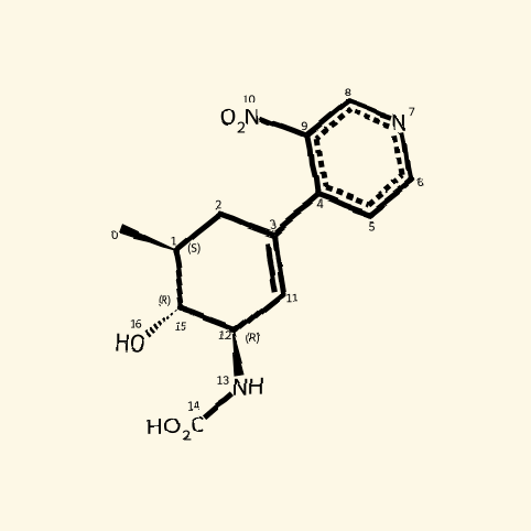 C[C@H]1CC(c2ccncc2[N+](=O)[O-])=C[C@@H](NC(=O)O)[C@@H]1O